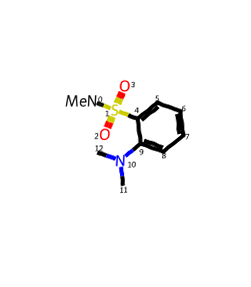 CNS(=O)(=O)c1ccccc1N(C)C